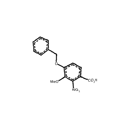 COc1c(OCc2ccccc2)ccc(C(=O)O)c1[N+](=O)[O-]